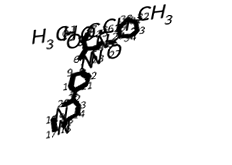 CCOC(=O)c1cn(-c2ccc(-c3ccc4nccn4c3)cc2)nc1N(C(=O)[C@H]1CC[C@H](C)CC1)C(C)C